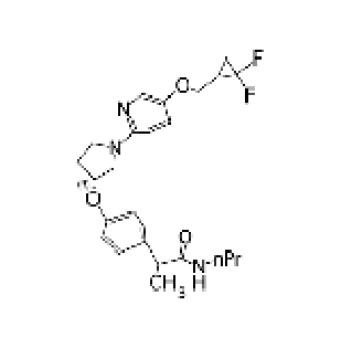 CCCNC(=O)C(C)c1ccc(O[C@@H]2CCN(c3ccc(OCC4CC4(F)F)cn3)C2)cc1